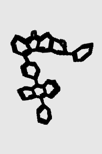 c1ccc(-c2cc3cc4c(cc3o2)oc2cccc(-c3ccc(-c5c6ccccc6c(-c6ccccc6)c6ccccc56)cc3)c24)cc1